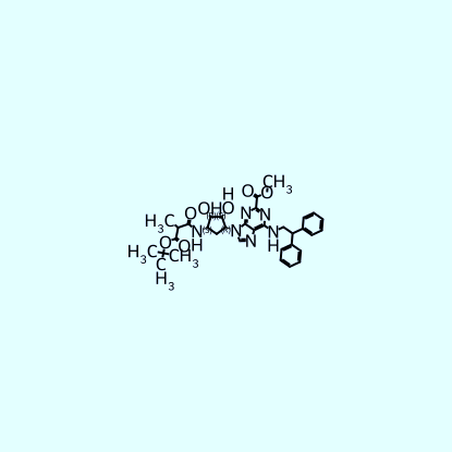 COC(=O)c1nc(NCC(c2ccccc2)c2ccccc2)c2ncn([C@@H]3C[C@H](NC(=O)C(C)C(=O)OC(C)(C)C)[C@@H](O)[C@H]3O)c2n1